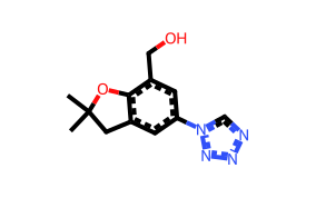 CC1(C)Cc2cc(-n3cnnn3)cc(CO)c2O1